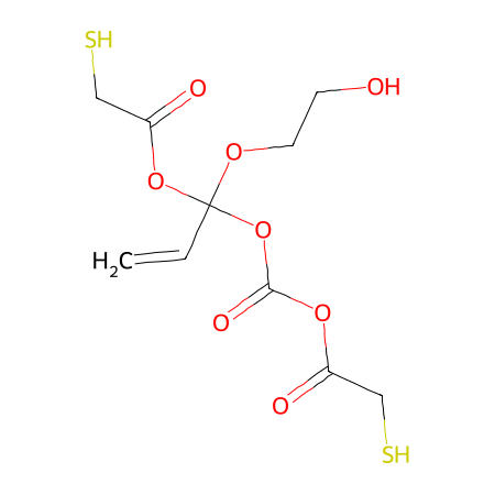 C=CC(OCCO)(OC(=O)CS)OC(=O)OC(=O)CS